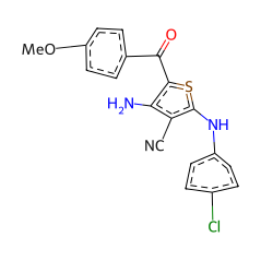 COc1ccc(C(=O)c2sc(Nc3ccc(Cl)cc3)c(C#N)c2N)cc1